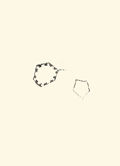 Cl.c1ccc(O[C@@H]2CCNC2)cc1